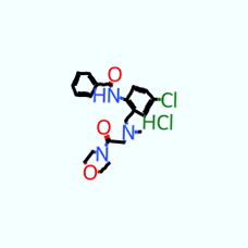 CN(CC(=O)N1CCOCC1)Cc1cc(Cl)ccc1NC(=O)c1ccccc1.Cl